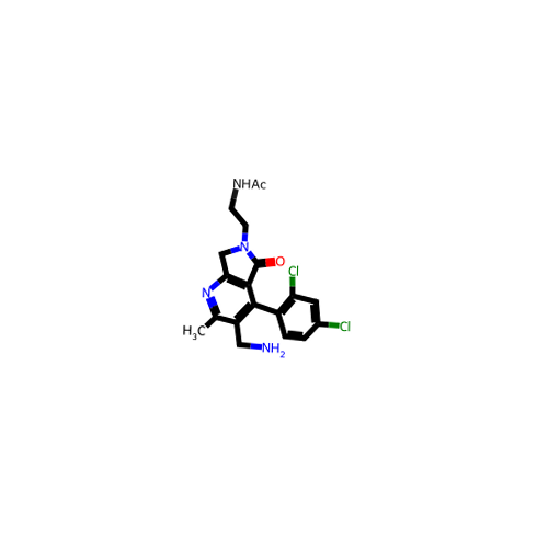 CC(=O)NCCN1Cc2nc(C)c(CN)c(-c3ccc(Cl)cc3Cl)c2C1=O